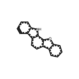 c1ccc2[nH]c3c(ccc4c5ccccc5oc43)c2c#1